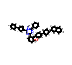 CN1C(c2ccccc2)=NC(c2cccc3oc4cc(-c5ccc(-c6ccc7ccccc7c6)cc5)ccc4c23)=NC1c1ccc(-c2ccccc2)cc1